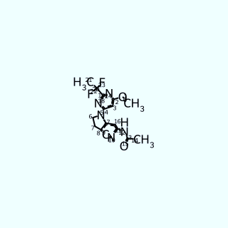 COc1cc(N2CCc3cnc(NC(C)=O)cc32)nc(C(C)(F)F)n1